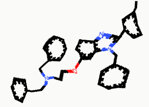 Cc1cccc(-c2nc3ccc(OCCN(Cc4ccccc4)Cc4ccccc4)cc3n2Cc2ccccc2)c1